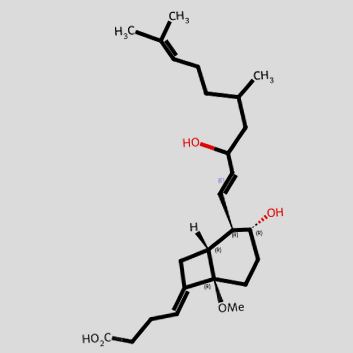 CO[C@]12CC[C@@H](O)[C@H](/C=C/C(O)CC(C)CCC=C(C)C)[C@H]1CC2=CCCC(=O)O